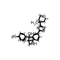 CC(C)c1ccc(C(O)(c2cccc(-c3nc(C4(C)CCOCC4)no3)c2)C2(C)CNC2)cc1